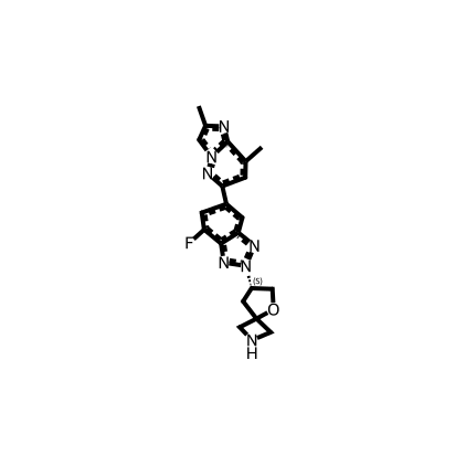 Cc1cn2nc(-c3cc(F)c4nn([C@@H]5COC6(CNC6)C5)nc4c3)cc(C)c2n1